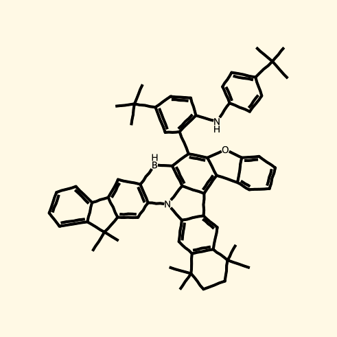 CC(C)(C)c1ccc(Nc2ccc(C(C)(C)C)cc2-c2c3c4c(c5cc6c(cc5n4-c4cc5c(cc4B3)-c3ccccc3C5(C)C)C(C)(C)CCC6(C)C)c3c2oc2ccccc23)cc1